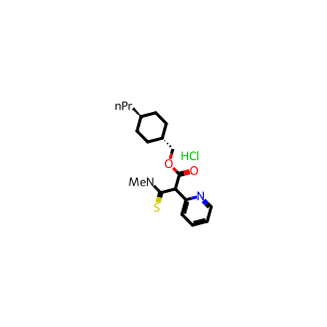 CCC[C@H]1CC[C@H](COC(=O)C(C(=S)NC)c2ccccn2)CC1.Cl